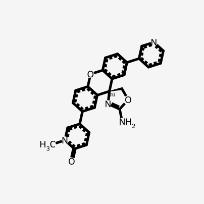 Cn1cc(-c2ccc3c(c2)[C@]2(COC(N)=N2)c2cc(-c4cccnc4)ccc2O3)ccc1=O